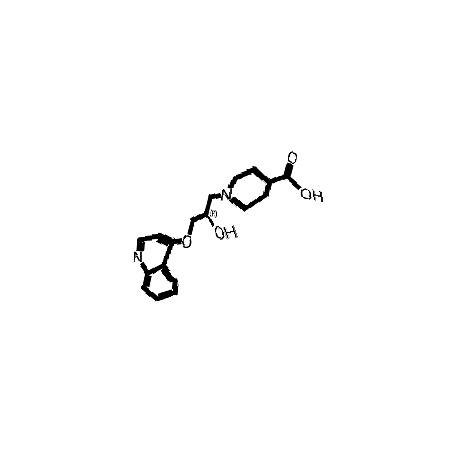 O=C(O)C1CCN(C[C@@H](O)COc2ccnc3ccccc23)CC1